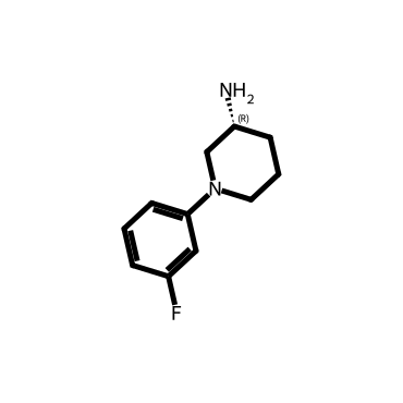 N[C@@H]1CCCN(c2cccc(F)c2)C1